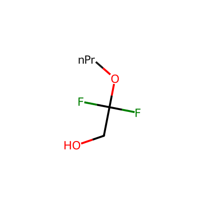 CCCOC(F)(F)CO